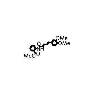 COC(=O)c1ccccc1NC(=O)C=CC=Cc1ccc(OC)c(OC)c1